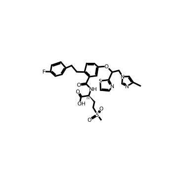 Cc1cn(CC(Oc2ccc(CCc3ccc(F)cc3)c(C(=O)N[C@@H](CCS(C)(=O)=O)C(=O)O)c2)c2nccs2)cn1